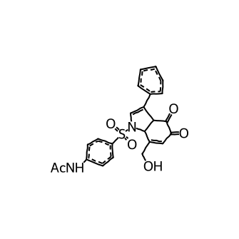 CC(=O)Nc1ccc(S(=O)(=O)N2C=C(c3ccccc3)C3C(=O)C(=O)C=C(CO)C32)cc1